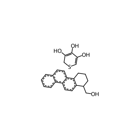 OC1=CSCC(O)=C1O.OCC1CCCc2c1ccc1c2ccc2ccccc21